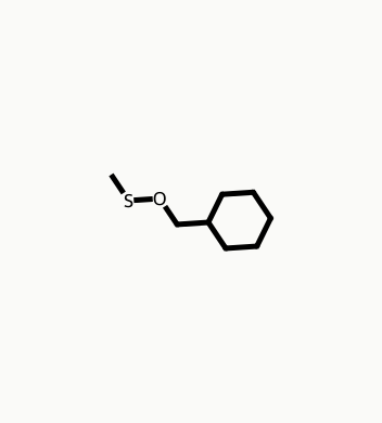 CSOCC1CCCCC1